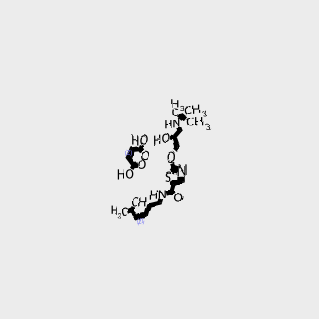 CC(C)/C=C\CCNC(=O)c1cnc(OCC(O)CNC(C)(C)C)s1.O=C(O)/C=C\C(=O)O